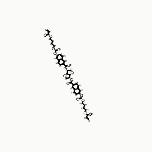 C=CC(=O)OCCCCOC(=O)Oc1ccc2cc(C(=O)O[C@@H]3COC4C3OC[C@H]4OC(=O)c3ccc4cc(OC(=O)OCCCCOC(=O)C=C)ccc4c3)ccc2c1